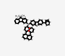 CC1(C)c2ccccc2-c2cc(N(c3ccc(-c4cccc5cccc(-c6ccccc6)c45)cc3)c3ccc4c(c3)sc3cc(C56CCC(CC5)C6)ccc34)ccc21